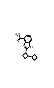 NC(=O)c1cccc2[nH]c(C3CCN3C3CCC3)nc12